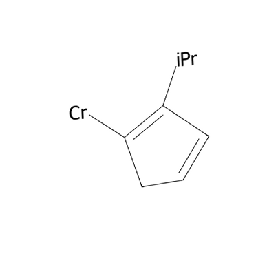 CC(C)C1=[C]([Cr])CC=C1